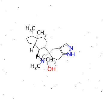 C[C@H]1CC[C@H]2[C@H](CN(C)C)[C@@H]([C@@]3(C)Cc4cn[nH]c4C[C@@H]3CO)CC[C@]12C